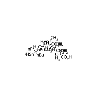 C=C(C)C(=O)O.C=C(C)C(=O)O.C=C(C)C(=O)O.C=C(C)C(=O)O.CCCC[C]([SnH])(CCC)CCCC